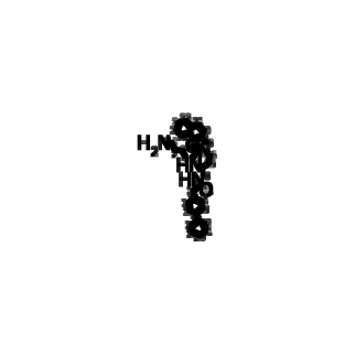 NCCCC[C@H]1N[C@H](CNC(=O)Cc2ccc(-c3ccccc3)cc2)CCN(Cc2ccc3ccccc3c2)C1=O